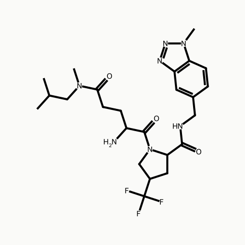 CC(C)CN(C)C(=O)CCC(N)C(=O)N1CC(C(F)(F)F)CC1C(=O)NCc1ccc2c(c1)nnn2C